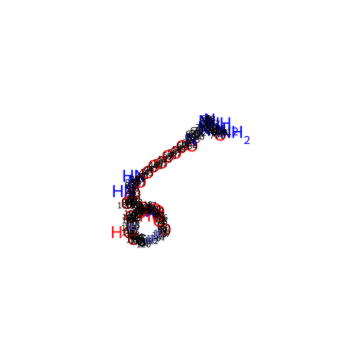 CO[C@H]1CC2CCC[C@@](O)(O2)C(=O)C(=O)N2CCCC[C@H]2C(=O)O[C@H](CC[C@@H]2CC[C@@H](OC(=O)NC3CCN(CC(=O)NCCOCCOCCOCCOCCOCCOCCC(=O)N4CCc5cc(Cn6nc(-c7ccc8oc(N)nc8c7)c7c(N)ncnc76)ccc5C4)CC3)[C@H](OC)C2)C[C@@H](OC)[C@H](C)/C=C(\C)[C@@H](O)CC(=O)[C@H](C)C[C@H](C)/C=C/C=C/C=C/1C